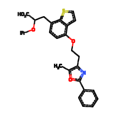 Cc1oc(-c2ccccc2)nc1CCOc1ccc(CC(OC(C)C)C(=O)O)c2sccc12